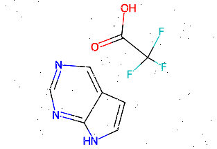 O=C(O)C(F)(F)F.c1ncc2cc[nH]c2n1